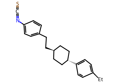 CCc1ccc([C@H]2CC[C@H](CCc3ccc(N=C=S)cc3)CC2)cc1